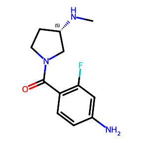 CN[C@H]1CCN(C(=O)c2ccc(N)cc2F)C1